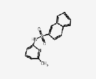 Cc1cccc(NS(=O)(=O)c2ccc3ccccc3c2)n1